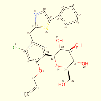 C=CCOc1cc(Cl)c(Cc2ncc(-c3ccccc3)s2)cc1[C@@H]1O[C@H](CO)[C@@H](O)[C@H](O)[C@H]1O